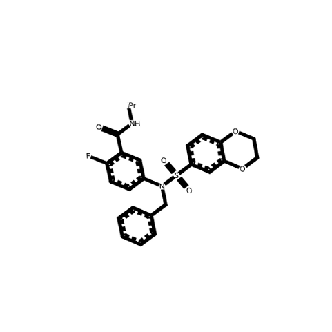 CC(C)NC(=O)c1cc(N(Cc2ccccc2)S(=O)(=O)c2ccc3c(c2)OCCO3)ccc1F